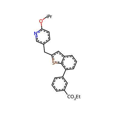 CCOC(=O)c1cccc(-c2cccc3cc(Cc4ccc(OC(C)C)nc4)sc23)c1